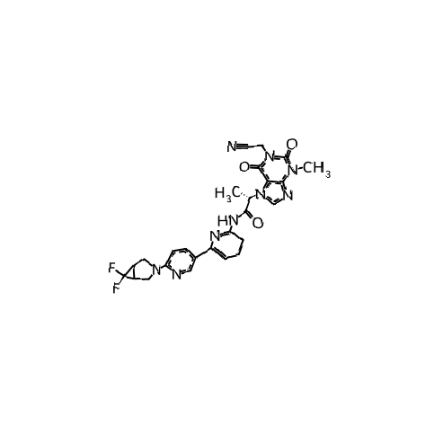 C[C@@H](C(=O)NC1=NC(c2ccc(N3CC4C(C3)C4(F)F)nc2)=CCC1)n1cnc2c1c(=O)n(CC#N)c(=O)n2C